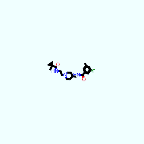 Cc1cc(F)cc(C(=O)NCC2CCN(CCNC(=O)C3(C)CC3)CC2)c1